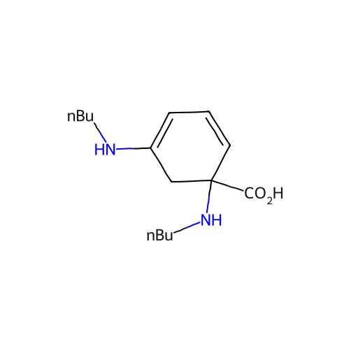 CCCCNC1=CC=CC(NCCCC)(C(=O)O)C1